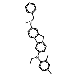 CCN(c1ccc2c(c1)-c1ccc(NCc3ccccc3)cc1C2)c1ccc(C)cc1C